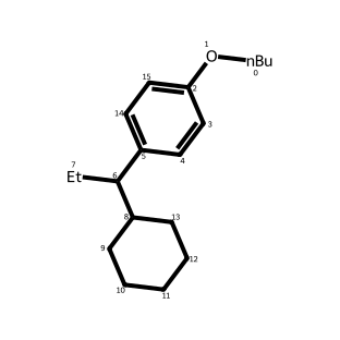 CCCCOc1ccc(C(CC)C2CCCCC2)cc1